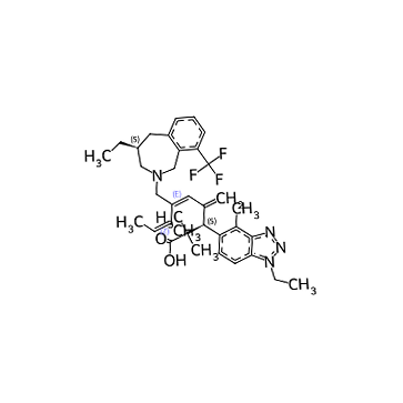 C=C(/C=C(CN1Cc2c(cccc2C(F)(F)F)C[C@H](CC)C1)\C(C)=C/C)[C@@H](c1ccc2c(nnn2CC)c1C)C(C)(C)C(=O)O